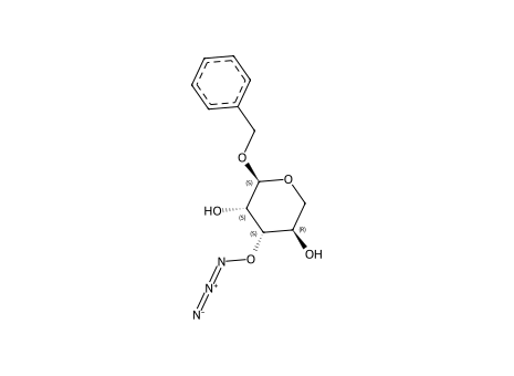 [N-]=[N+]=NO[C@@H]1[C@H](O)[C@@H](OCc2ccccc2)OC[C@H]1O